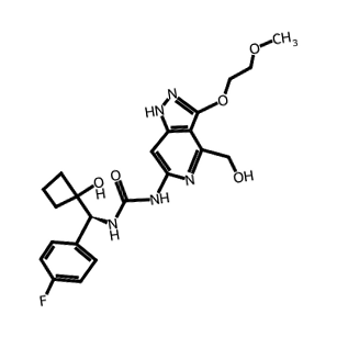 COCCOc1n[nH]c2cc(NC(=O)N[C@@H](c3ccc(F)cc3)C3(O)CCC3)nc(CO)c12